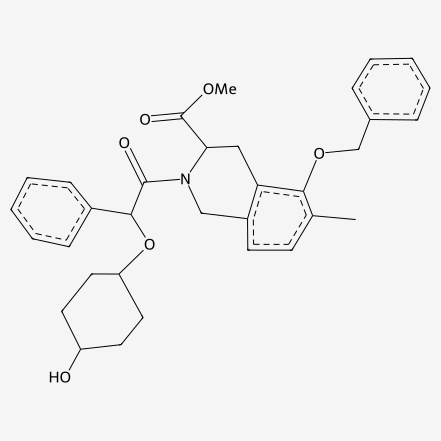 COC(=O)C1Cc2c(ccc(C)c2OCc2ccccc2)CN1C(=O)C(OC1CCC(O)CC1)c1ccccc1